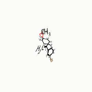 C=C1c2cc(Br)ccc2CC12CCC(OC)CC2